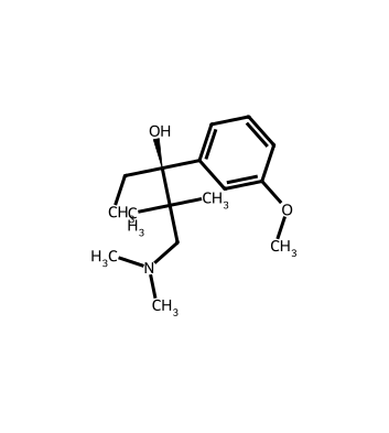 CC[C@](O)(c1cccc(OC)c1)C(C)(C)CN(C)C